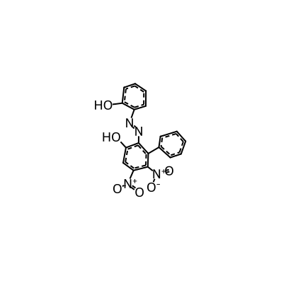 O=[N+]([O-])c1cc(O)c(N=Nc2ccccc2O)c(-c2ccccc2)c1[N+](=O)[O-]